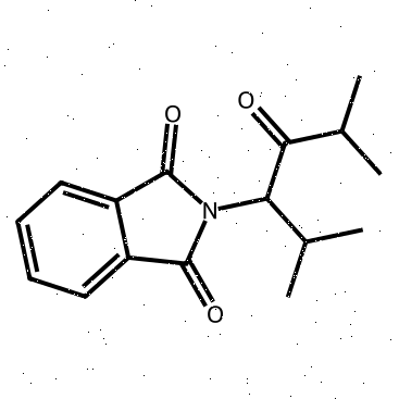 CC(C)C(=O)C(C(C)C)N1C(=O)c2ccccc2C1=O